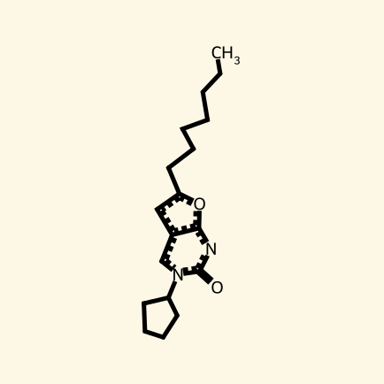 CCCCCCCc1cc2cn(C3CCCC3)c(=O)nc2o1